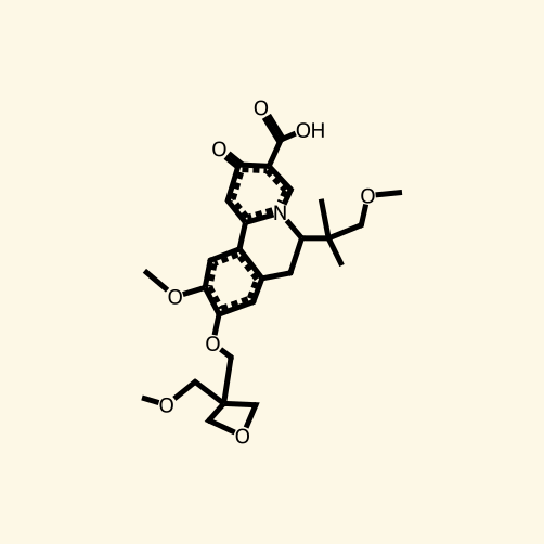 COCC1(COc2cc3c(cc2OC)-c2cc(=O)c(C(=O)O)cn2C(C(C)(C)COC)C3)COC1